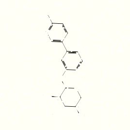 CC(=O)O[C@@H]1[C@@H](OC(C)=O)[C@@H](Oc2cccc(-c3ccc(Cl)nc3)c2)SC[C@H]1OC(C)=O